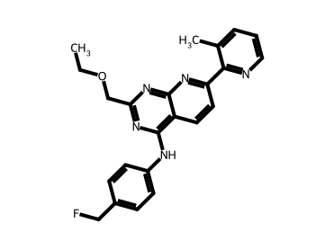 CCOCc1nc(Nc2ccc(CF)cc2)c2ccc(-c3ncccc3C)nc2n1